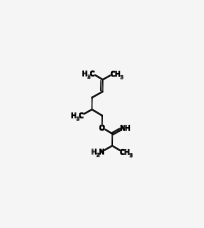 CC(C)=CCC(C)COC(=N)C(C)N